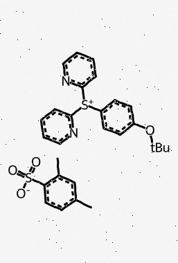 CC(C)(C)Oc1ccc([S+](c2ccccn2)c2ccccn2)cc1.Cc1ccc(S(=O)(=O)[O-])c(C)c1